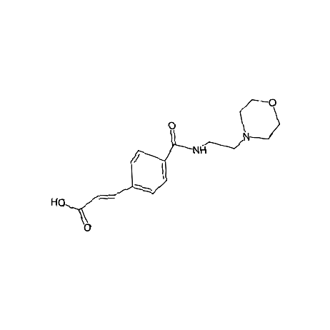 O=C(O)C=Cc1ccc(C(=O)NCCN2CCOCC2)cc1